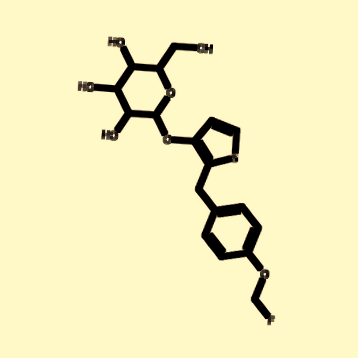 OCC1OC(Oc2ccsc2Cc2ccc(OCF)cc2)C(O)C(O)C1O